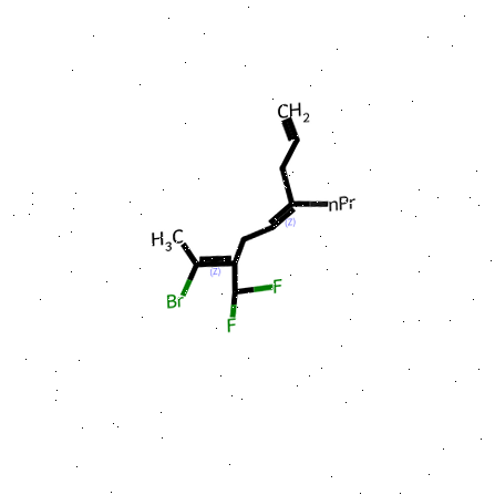 C=CC/C(=C\C/C(=C(\C)Br)C(F)F)CCC